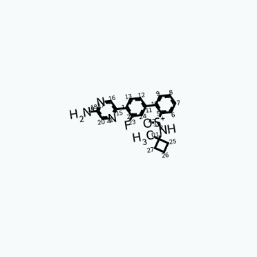 CC1(N[S+]([O-])c2ccccc2-c2ccc(-c3cnc(N)cn3)c(F)c2)CCC1